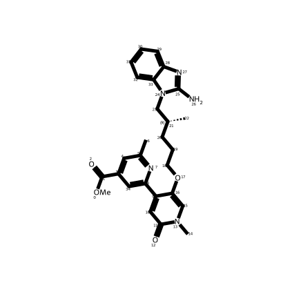 COC(=O)c1cc(C)nc(-c2cc(=O)n(C)cc2OCCC[C@@H](C)Cn2c(N)nc3ccccc32)c1